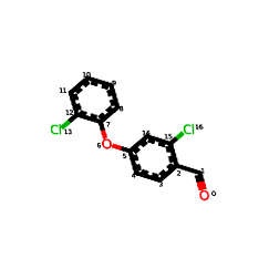 O=Cc1ccc(Oc2ccccc2Cl)cc1Cl